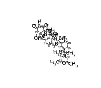 BC(B)(Nc1cccc(C=O)c1C(B)(O)N(C)C1(B)CCC(=O)NC1=O)c1cc(C(B)(B)N2CC(C)OC(C)C2)ccc1F